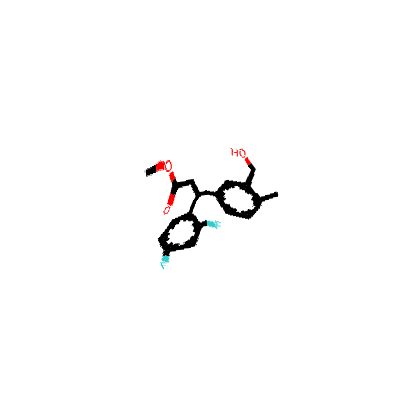 COC(=O)CC(c1ccc(C)c(CO)c1)c1ccc(F)cc1F